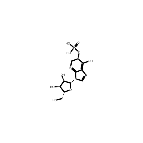 O=P(O)(O)ON1CN=c2c(ncn2[C@@H]2O[C@H](CO)[C@@H](O)[C@H]2O)=C1O